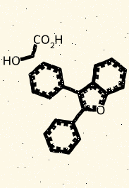 O=C(O)CO.c1ccc(-c2oc3ccccc3c2-c2ccccc2)cc1